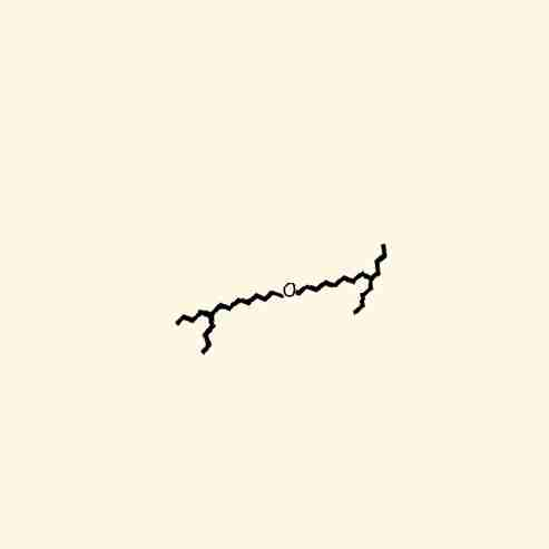 CCCCC(CCCC)CCCCCCCCOCCCCCCCCC(CCCC)CCCC